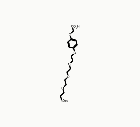 CCCCCCCCCCCCOCCOCCOCCOc1ccc(OCC(=O)O)cc1